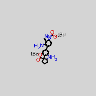 CC(C)(C)OC(=O)n1ncc2c(N)c(-c3ccc(C4(C(=O)OC(C)(C)C)CCCC4N)cc3)ccc21